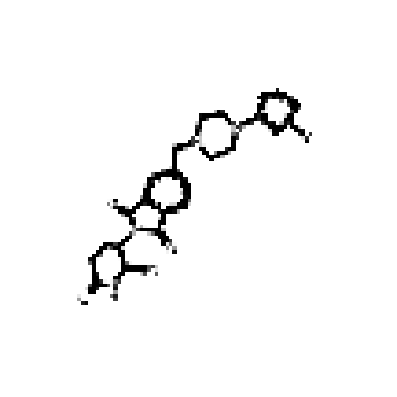 O=C1CCC(N2C(=O)c3ccc(CN4CCN(c5cc(Cl)ccn5)CC4)cc3C2=O)C(=O)N1